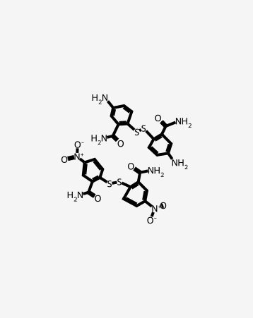 NC(=O)c1cc(N)ccc1SSc1ccc(N)cc1C(N)=O.NC(=O)c1cc([N+](=O)[O-])ccc1SSc1ccc([N+](=O)[O-])cc1C(N)=O